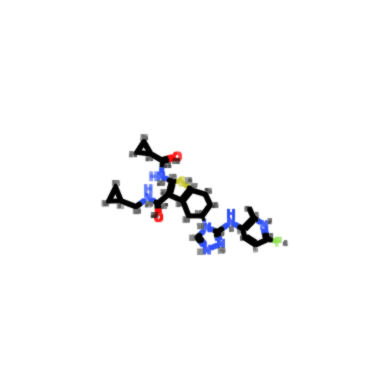 Cc1nc(F)ccc1Nc1nncn1[C@H]1CCc2sc(NC(=O)C3CC3)c(C(=O)NCC3CC3)c2C1